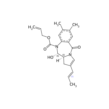 C=CCOC(=O)N1c2cc(C)c(C)cc2C(=O)N2C=C(/C=C/C)C[C@H]2[C@@H]1O